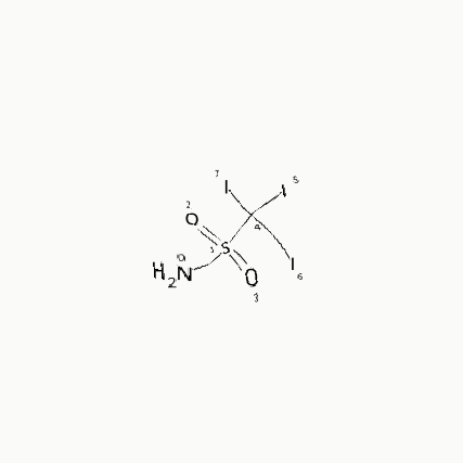 NS(=O)(=O)C(I)(I)I